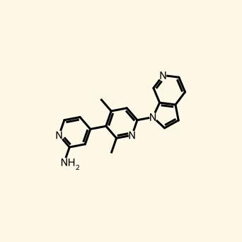 Cc1cc(-n2ccc3ccncc32)nc(C)c1-c1ccnc(N)c1